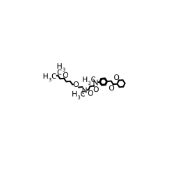 CC(C)CC(=O)CCCOCCN(C)C(=O)CC(=O)N(C)c1ccc(CC(=O)C2CCCCC2=O)cc1